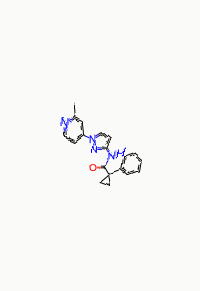 Cc1cc(-n2ccc(NC(=O)C3(c4ccccc4)CC3)n2)ccn1